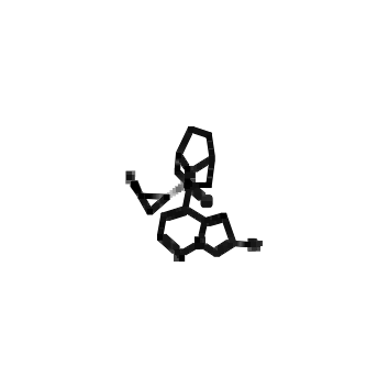 O=C([C@@H]1C[C@H]1F)N1C2CCC1CN(c1ccnn3cc(Br)cc13)C2